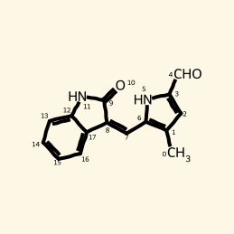 Cc1cc(C=O)[nH]c1C=C1C(=O)Nc2ccccc21